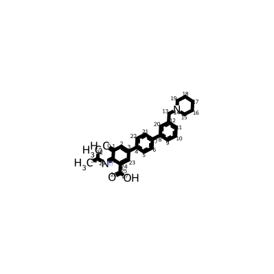 C=C1C=C(c2ccc(-c3cccc(CN4CCCCC4)c3)cc2)C=C(C(=O)O)/C1=N/C(C)C